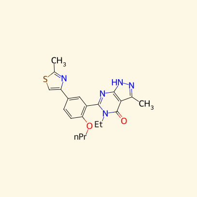 CCCOc1ccc(-c2csc(C)n2)cc1-c1nc2[nH]nc(C)c2c(=O)n1CC